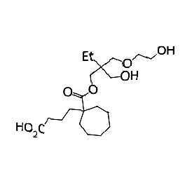 CCC(CO)(COCCO)COC(=O)C1(CCCC(=O)O)CCCCCC1